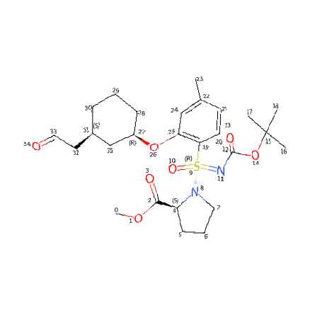 COC(=O)[C@@H]1CCCN1[S@@](=O)(=NC(=O)OC(C)(C)C)c1ccc(C)cc1O[C@@H]1CCC[C@H](CC=O)C1